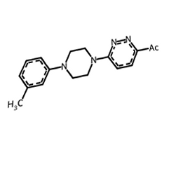 CC(=O)c1ccc(N2CCN(c3cccc(C)c3)CC2)nn1